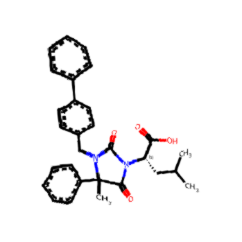 CC(C)C[C@@H](C(=O)O)N1C(=O)N(Cc2ccc(-c3ccccc3)cc2)C(C)(c2ccccc2)C1=O